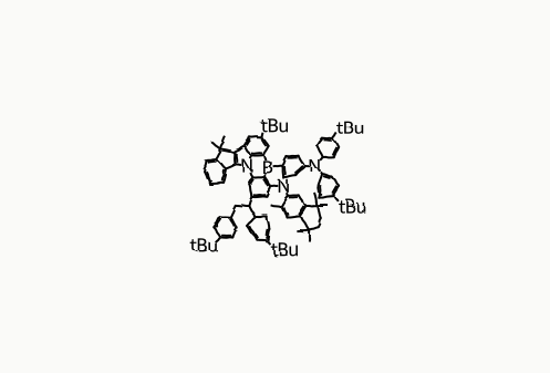 Cc1cc2c(cc1N1c3cc(N(c4ccc(C(C)(C)C)cc4)C4C=CC(C(C)(C)C)=CC4)ccc3B3c4c1cc(C(Cc1ccc(C(C)(C)C)cc1)C1C=CC(C(C)(C)C)=CC1)cc4-n1c4c(c5cc(C(C)(C)C)cc3c51)C(C)(C)c1ccccc1-4)C(C)(C)CCC2(C)C